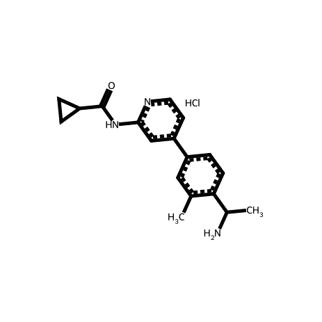 Cc1cc(-c2ccnc(NC(=O)C3CC3)c2)ccc1C(C)N.Cl